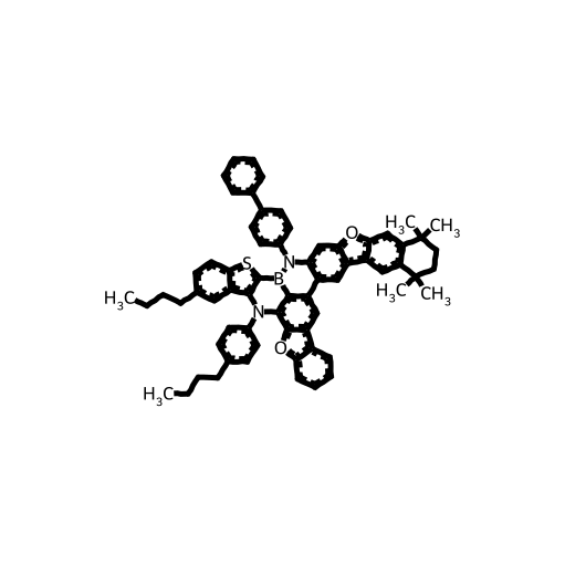 CCCCc1ccc(N2c3c(sc4ccc(CCCC)cc34)B3c4c(cc5c(oc6ccccc65)c42)-c2cc4c(cc2N3c2ccc(-c3ccccc3)cc2)oc2cc3c(cc24)C(C)(C)CCC3(C)C)cc1